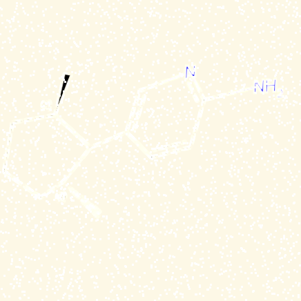 C[C@@H]1CCC[C@@H](C)C1c1ccc(N)nc1